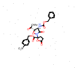 COC(=O)[C@H]1ON(C2(C(=O)OCc3ccc([N+](=O)[O-])cc3)CCC(=O)O2)C(=O)[C@H]1NC(=O)OCc1ccccc1